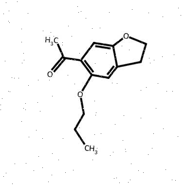 CCCOc1cc2c(cc1C(C)=O)OCC2